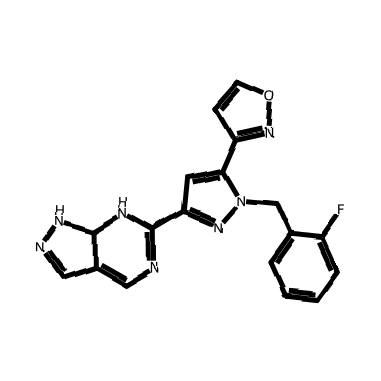 Fc1ccccc1Cn1nc(C2=NC=C3C=NNC3N2)cc1-c1ccon1